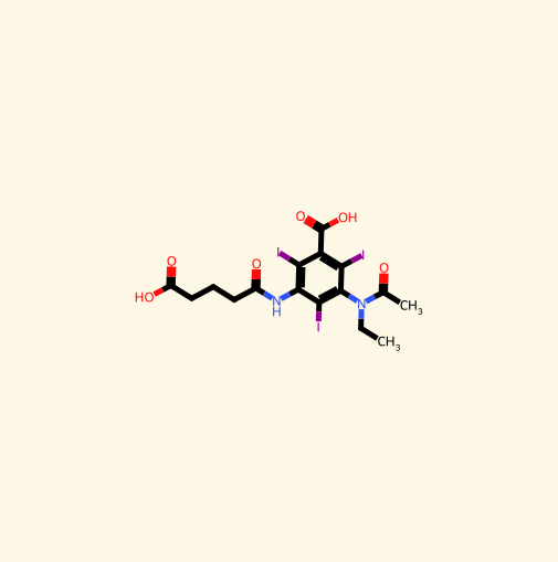 CCN(C(C)=O)c1c(I)c(NC(=O)CCCC(=O)O)c(I)c(C(=O)O)c1I